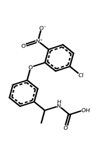 CC(NC(=O)O)c1cccc(Oc2cc(Cl)ccc2[N+](=O)[O-])c1